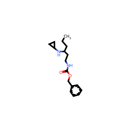 CCCC(CCNC(=O)OCc1ccccc1)NC1CC1